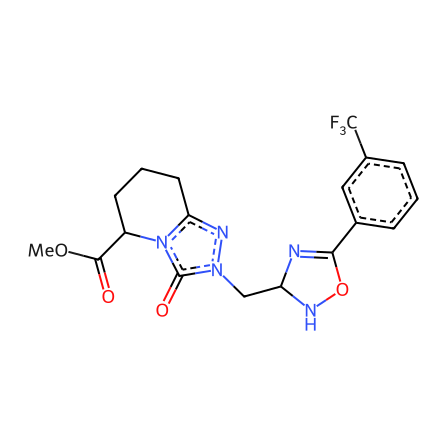 COC(=O)C1CCCc2nn(CC3N=C(c4cccc(C(F)(F)F)c4)ON3)c(=O)n21